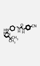 CN(C)c1ccnc(N[C@H]2CC[C@@H](CNC(=O)Nc3ccc(C#N)cc3)CC2)n1